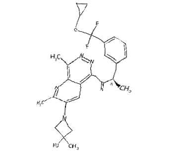 Cc1nc2c(C)nnc(N[C@H](C)c3cccc(C(F)(F)OC4CC4)c3)c2cc1N1CC(C)(O)C1